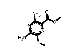 COC(=O)c1nc(SC)c(N)nc1N